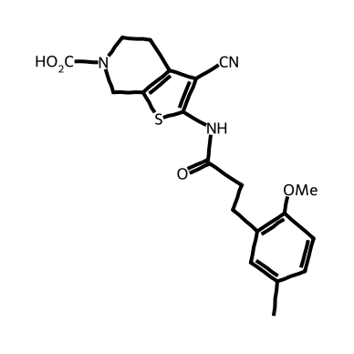 COc1ccc(C)cc1CCC(=O)Nc1sc2c(c1C#N)CCN(C(=O)O)C2